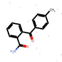 Cc1ccc(C(=O)c2ccccc2C(N)=O)cc1